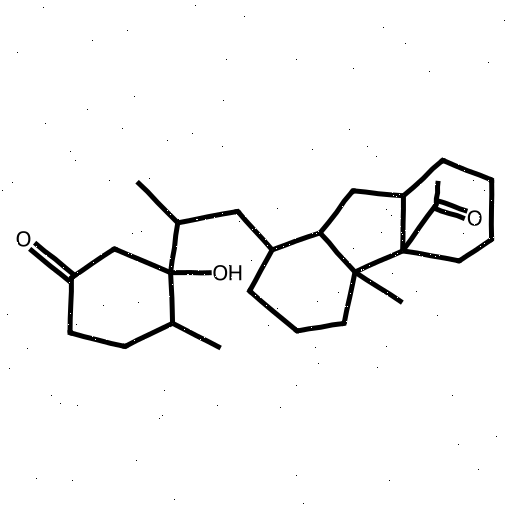 CC(=O)C12CCCCC1CC1C(CC(C)C3(O)CC(=O)CCC3C)CCCC12C